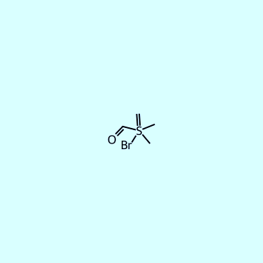 C=S(C)(C)(Br)C=O